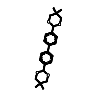 CC1(C)COC(c2ccc(-c3ccc(C4OCC(C)(C)CO4)cc3)cc2)OC1